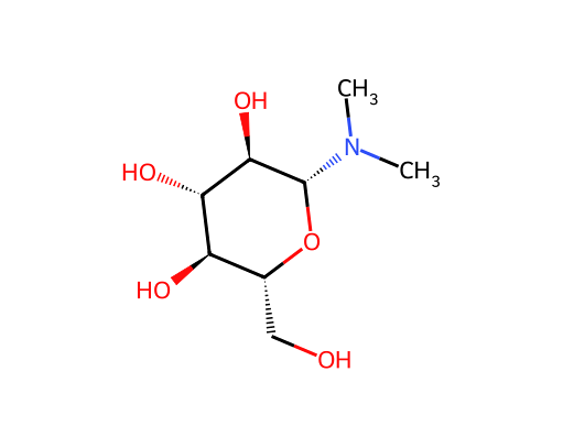 CN(C)[C@@H]1O[C@H](CO)[C@@H](O)[C@H](O)[C@H]1O